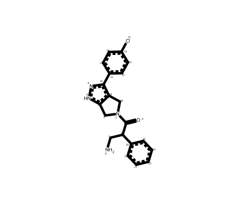 NCC(C(=O)N1Cc2[nH]nc(-c3ccc(Cl)cc3)c2C1)c1ccccc1